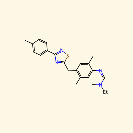 CCN(C)/C=N\c1cc(C)c(Cc2nc(-c3ccc(C)cc3)ns2)cc1C